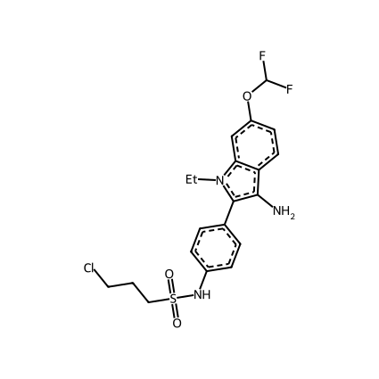 CCn1c(-c2ccc(NS(=O)(=O)CCCCl)cc2)c(N)c2ccc(OC(F)F)cc21